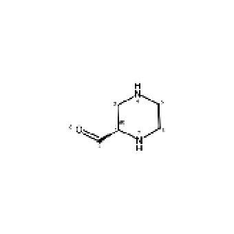 O=C[C@H]1CNCCN1